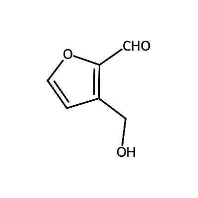 O=Cc1occc1CO